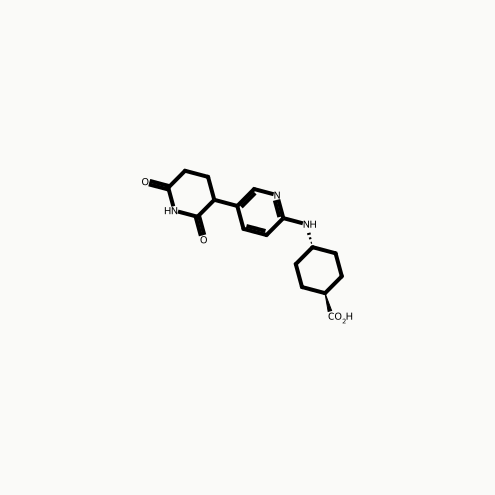 O=C1CCC(c2ccc(N[C@H]3CC[C@H](C(=O)O)CC3)nc2)C(=O)N1